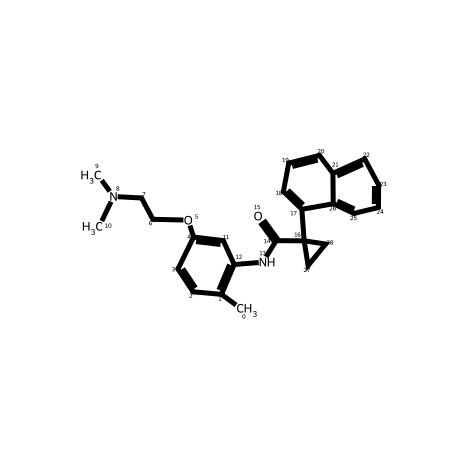 Cc1ccc(OCCN(C)C)cc1NC(=O)C1(c2cccc3ccccc23)CC1